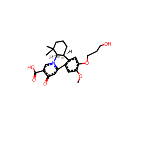 COc1cc2c(cc1OCCCO)[C@@H]1CCCC(C)(C)[C@@H]1n1cc(C(=O)O)c(=O)cc1-2